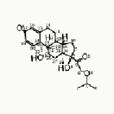 CC(C)OCC(=O)[C@@]1(O)CC[C@H]2[C@@H]3CCC4=CC(=O)C=C[C@]4(C)[C@@]3(F)[C@@H](O)C[C@@]21C